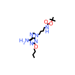 CCCCOc1nc(N)c2ncn(CCCCNC(=O)OC(C)(C)C)c2n1